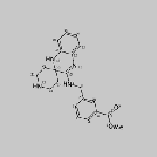 COC(=O)c1cccc(CNC2=Nc3ccccc3NC23CCNCC3)c1